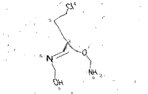 NOC(CCl)=NO